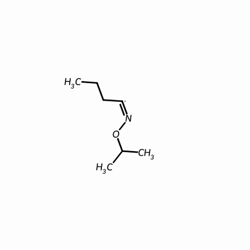 CCC/[C]=N\OC(C)C